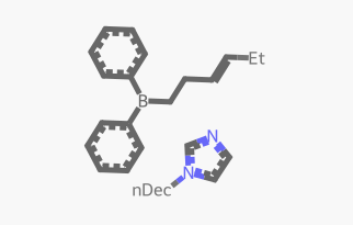 CCC=CCCB(c1ccccc1)c1ccccc1.CCCCCCCCCCn1ccnc1